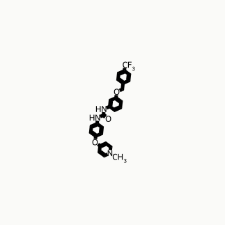 CN1C=CC(Oc2ccc(NC(=O)Nc3cccc(OCc4ccc(C(F)(F)F)cc4)c3)cc2)=CC1